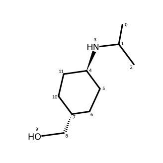 CC(C)N[C@H]1CC[C@H](CO)CC1